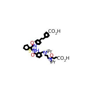 CC(C)N(CCCN(C(=O)CCC(=O)O)C(C)C)Cc1cccc(C(=O)Nc2sc3c(c2C(=O)Nc2ccc(CCc4ccc(C(=O)O)cc4)cc2)CCCC3)c1